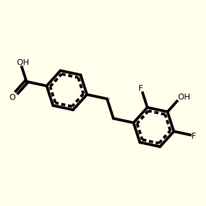 O=C(O)c1ccc([CH]Cc2ccc(F)c(O)c2F)cc1